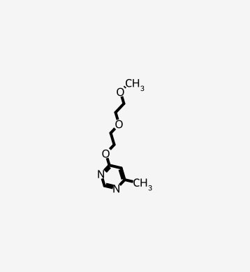 COCCOCCOc1cc(C)ncn1